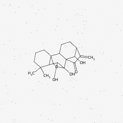 C=C1C(=O)C23C(O)C1CCC2C12CCCC(C)(C)C1C(O)C3(O)OC2